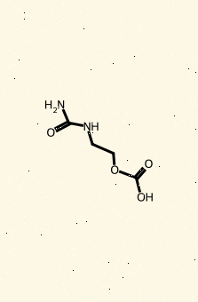 NC(=O)NCCOC(=O)O